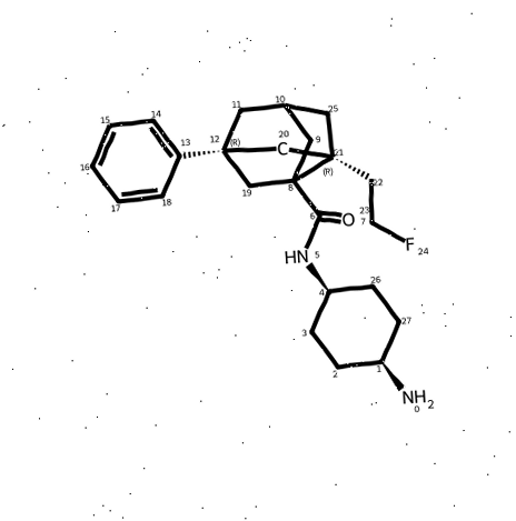 N[C@H]1CC[C@@H](NC(=O)C23CC4C[C@](c5ccccc5)(C2)C[C@@]3(CCF)C4)CC1